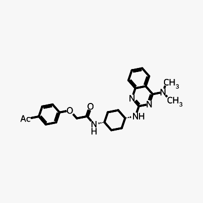 CC(=O)c1ccc(OCC(=O)N[C@H]2CC[C@@H](Nc3nc(N(C)C)c4ccccc4n3)CC2)cc1